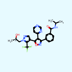 CC(C)NC(=O)c1cccc(-c2noc(-c3cnn(C[C@@H](C)O)c3C(F)(F)F)c2-c2ccncn2)c1